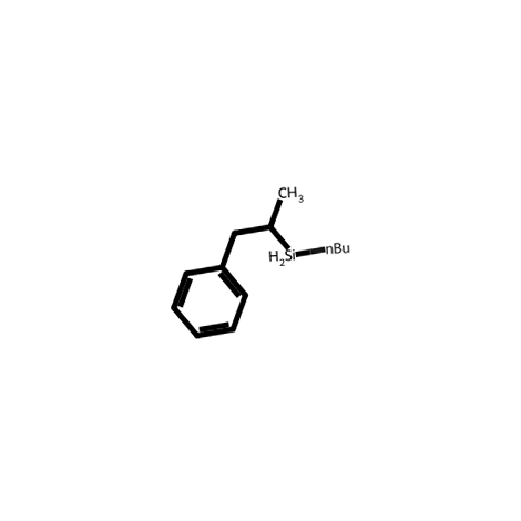 CCCC[SiH2][C](C)Cc1ccccc1